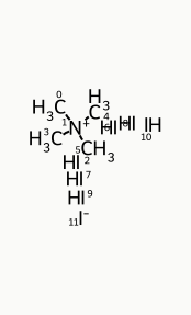 C[N+](C)(C)C.I.I.I.I.I.I.[I-]